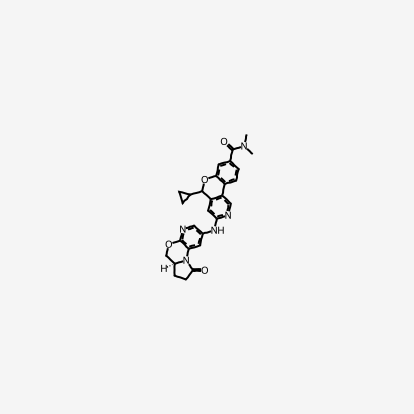 CN(C)C(=O)c1ccc2c(c1)OC(C1CC1)c1cc(Nc3cnc4c(c3)N3C(=O)CC[C@H]3CO4)ncc1-2